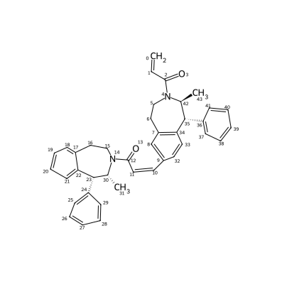 C=CC(=O)N1CCc2cc(/C=C\C(=O)N3CCc4ccccc4[C@@H](c4ccccc4)[C@H]3C)ccc2[C@@H](c2ccccc2)[C@@H]1C